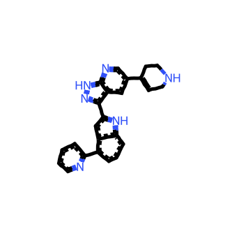 C1=C(c2cnc3[nH]nc(-c4cc5c(-c6ccccn6)cccc5[nH]4)c3c2)CCNC1